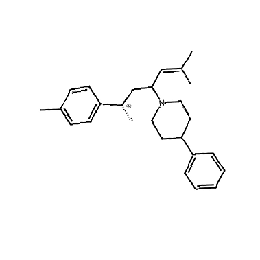 CC(C)=CC(C[C@H](C)c1ccc(C)cc1)N1CCC(c2ccccc2)CC1